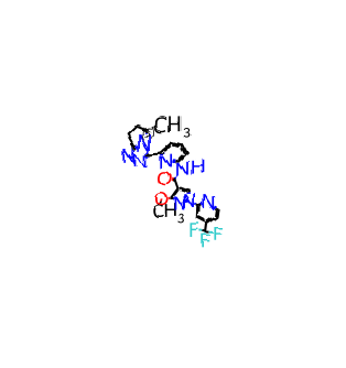 COc1nn(-c2cc(C(F)(F)F)ccn2)cc1C(=O)Nc1cccc(-c2nnc3n2[C@@H](C)CC3)n1